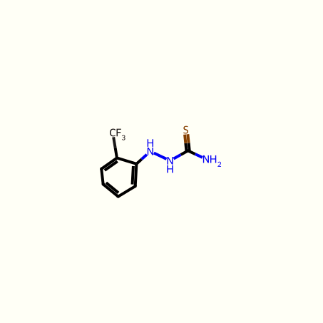 NC(=S)NNc1ccccc1C(F)(F)F